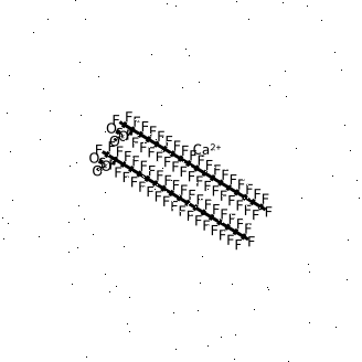 O=S(=O)([O-])C(F)(F)C(F)(F)C(F)(F)C(F)(F)C(F)(F)C(F)(F)C(F)(F)C(F)(F)C(F)(F)C(F)(F)C(F)(F)C(F)(F)C(F)(F)C(F)(F)C(F)(F)C(F)(F)C(F)(F)C(F)(F)F.O=S(=O)([O-])C(F)(F)C(F)(F)C(F)(F)C(F)(F)C(F)(F)C(F)(F)C(F)(F)C(F)(F)C(F)(F)C(F)(F)C(F)(F)C(F)(F)C(F)(F)C(F)(F)C(F)(F)C(F)(F)C(F)(F)C(F)(F)F.[Ca+2]